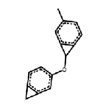 Cc1ccc2c(c1)C2Oc1ccc2c(c1)C2